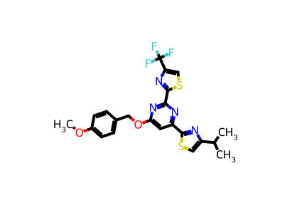 COc1ccc(COc2cc(-c3nc(C(C)C)cs3)nc(-c3nc(C(F)(F)F)cs3)n2)cc1